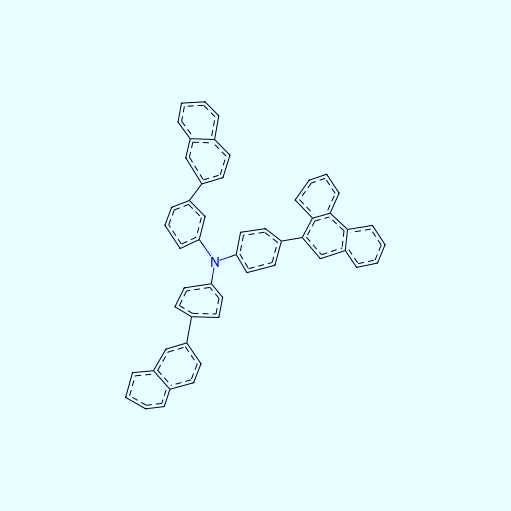 c1cc(-c2ccc3ccccc3c2)cc(N(c2ccc(-c3ccc4ccccc4c3)cc2)c2ccc(-c3cc4ccccc4c4ccccc34)cc2)c1